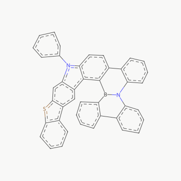 c1ccc(-n2c3cc4sc5ccccc5c4cc3c3c4c(ccc32)-c2ccccc2N2B4c3ccccc3-c3ccccc32)cc1